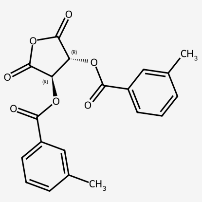 Cc1cccc(C(=O)O[C@H]2C(=O)OC(=O)[C@@H]2OC(=O)c2cccc(C)c2)c1